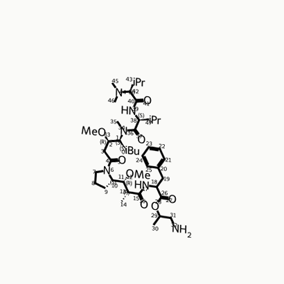 CC[C@H](C)[C@@H]([C@@H](CC(=O)N1CCC[C@H]1[C@H](OC)[C@@H](C)C(=O)NC(Cc1ccccc1)C(=O)OC(C)CN)OC)N(C)C(=O)[C@@H](NC(=O)[C@H](C(C)C)N(C)C)C(C)C